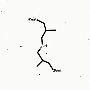 CCCC(C)CC(C)[CH2][AlH][CH2]C(C)CC(C)CCC